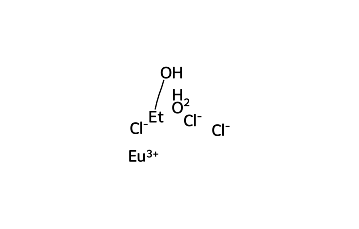 CCO.O.[Cl-].[Cl-].[Cl-].[Eu+3]